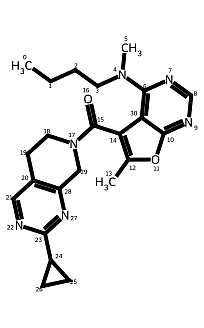 CCCCN(C)c1ncnc2oc(C)c(C(=O)N3CCc4cnc(C5CC5)nc4C3)c12